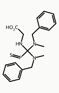 CN(Cc1ccccc1)C(NCC(=O)O)(P=S)N(C)Cc1ccccc1